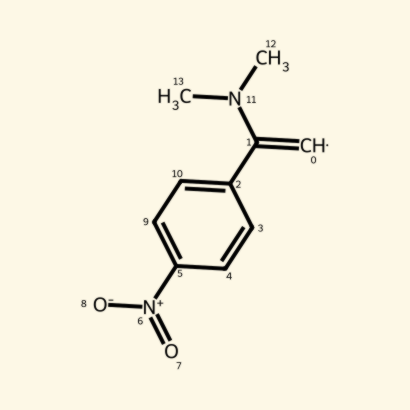 [CH]=C(c1ccc([N+](=O)[O-])cc1)N(C)C